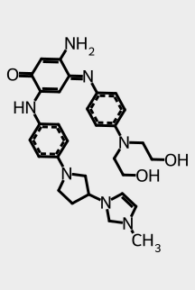 CN1C=CN(C2CCN(c3ccc(NC4=CC(=Nc5ccc(N(CCO)CCO)cc5)C(N)=CC4=O)cc3)C2)C1